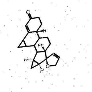 CC[C@]12CCC3C(C4CC4C4=CC(=O)CC[C@@H]43)C1[C@@H]1C[C@@H]1[C@@]21C=CCO1